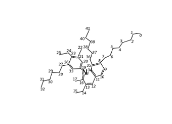 CCCCCCCCc1ccc(C=C(CC)C(C)=Nc2cc(C)c(CC)c(CCCCCC)c2)cc1CCCCCC